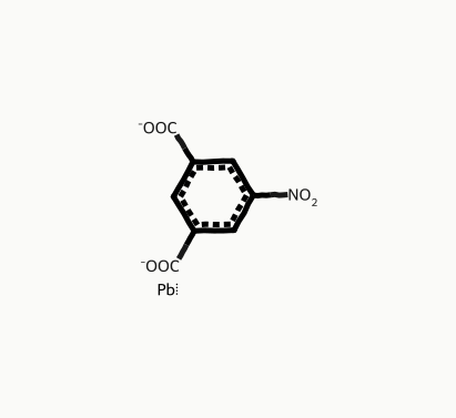 O=C([O-])c1cc(C(=O)[O-])cc([N+](=O)[O-])c1.[Pb]